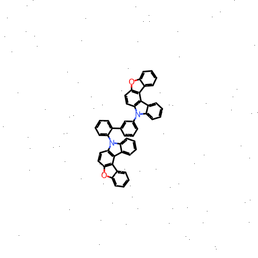 c1cc(-c2ccccc2-n2c3ccccc3c3c4c(ccc32)oc2ccccc24)cc(-n2c3ccccc3c3c4c(ccc32)oc2ccccc24)c1